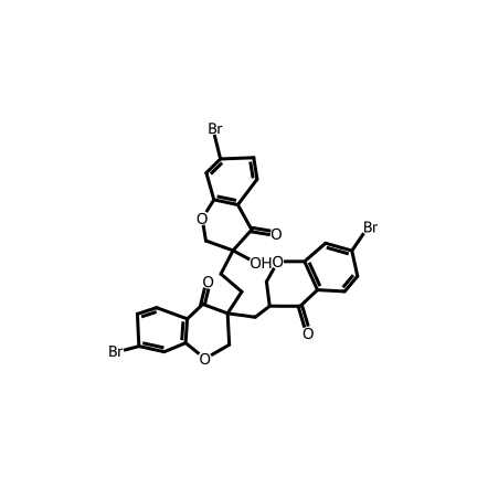 O=C1c2ccc(Br)cc2OCC1CC1(CCC2(O)COc3cc(Br)ccc3C2=O)COc2cc(Br)ccc2C1=O